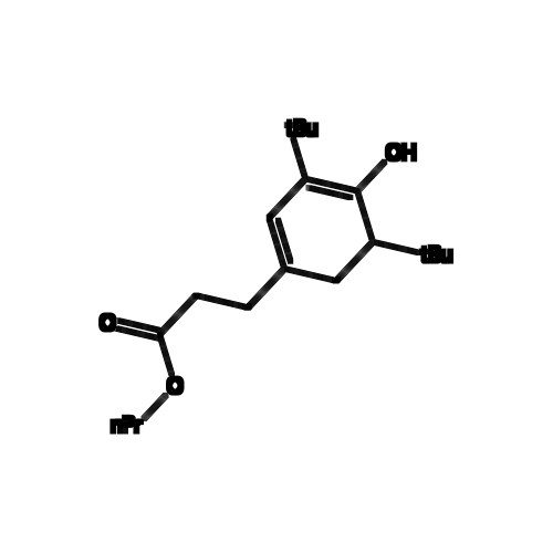 CCCOC(=O)CCC1=CC(C(C)(C)C)=C(O)C(C(C)(C)C)C1